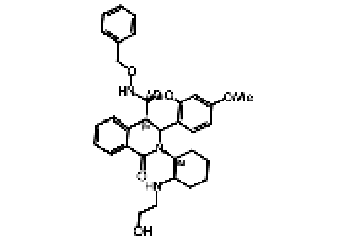 COc1ccc(C2[C@H](C(=O)NOCc3ccccc3)c3ccccc3C(=O)N2[C@H]2CCCCC2NCCO)c(OC)c1